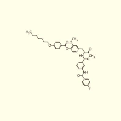 CCCCCCCOc1ccc(C(=O)Oc2ccc(CC(NC(=O)c3cccc(NC(=O)c4ccc(F)cc4)c3)C(C)=O)cc2OC)cc1